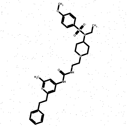 CCN(C1CCN(CCNC(=O)Nc2cc(C)nc(CCc3ccccc3)c2)CC1)S(=O)(=O)c1ccc(OC)cc1